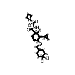 O=C(NS(=O)(=O)N1CCC1)c1ccc(OCC2CCC(Cl)(Cl)CC2)c(C2CC2)c1F